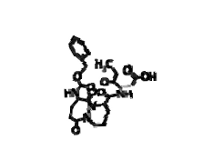 CCC(=O)[C@H](CC(=O)O)NC(=O)C1CCCN2C(=O)CCC(NC(=O)OCc3ccccc3)C(=O)N12